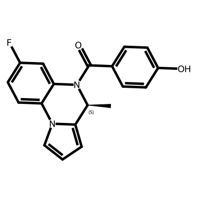 C[C@H]1c2cccn2-c2ccc(F)cc2N1C(=O)c1ccc(O)cc1